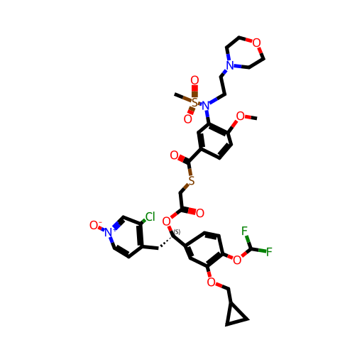 COc1ccc(C(=O)SCC(=O)O[C@@H](Cc2cc[n+]([O-])cc2Cl)c2ccc(OC(F)F)c(OCC3CC3)c2)cc1N(CCN1CCOCC1)S(C)(=O)=O